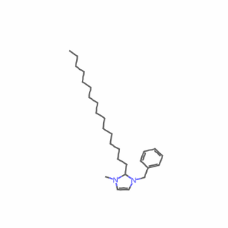 CCCCCCCCCCCCCCCCC1N(C)C=CN1Cc1ccccc1